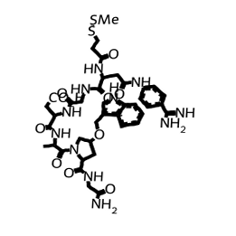 CSSCCC(=O)NC(CC(=O)Nc1ccc(C(=N)N)cc1)C(=O)NCC(=O)NC(CC(=O)O)C(=O)NC(C)C(=O)N1CC(OCc2c[nH]c3ccccc23)CC1C(=O)NCC(N)=O